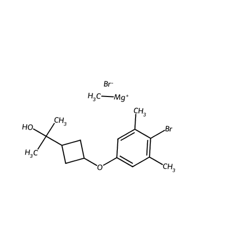 Cc1cc(OC2CC(C(C)(C)O)C2)cc(C)c1Br.[Br-].[CH3][Mg+]